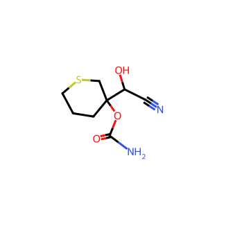 N#CC(O)C1(OC(N)=O)CCCSC1